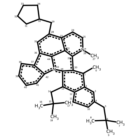 Cc1c2cc(CC(C)(C)C)ccc2c(CC(C)(C)C)c2c1c1c3c(cc[n+]1C)c(CC1CCCC1)cc1c4ccccc4n2c13